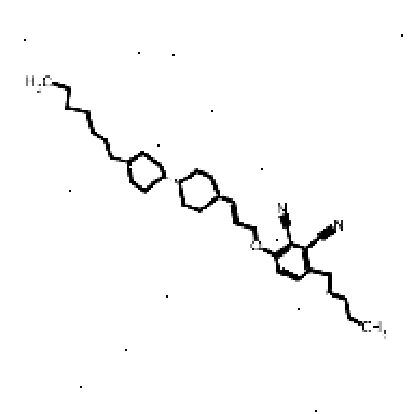 CCCCCCC[C@H]1CC[C@H](C2CCC(/C=C/COc3ccc(CCCCC)c(C#N)c3C#N)CC2)CC1